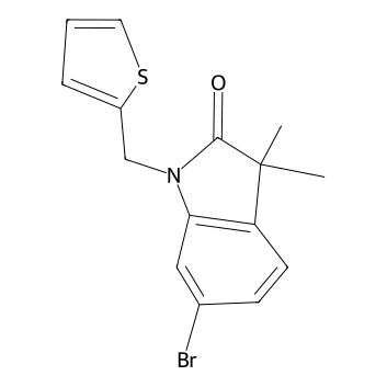 CC1(C)C(=O)N(Cc2cccs2)c2cc(Br)ccc21